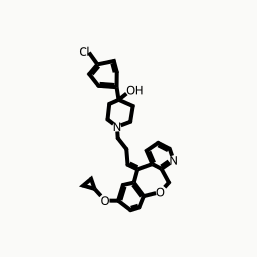 OC1(c2ccc(Cl)cc2)CCN(CCC=C2c3cc(OC4CC4)ccc3OCc3ncccc32)CC1